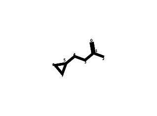 C=C(C)CCC1[CH]C1